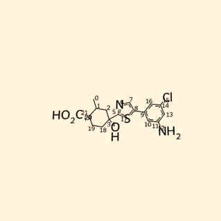 CC1CC(O)(c2ncc(-c3cc(N)cc(Cl)c3)s2)CC[C@@H]1C(=O)O